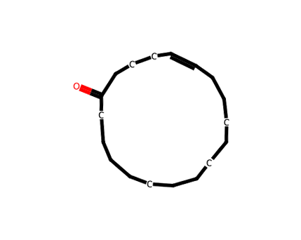 O=C1CCC/C=C\CCCCCCCCCCCC1